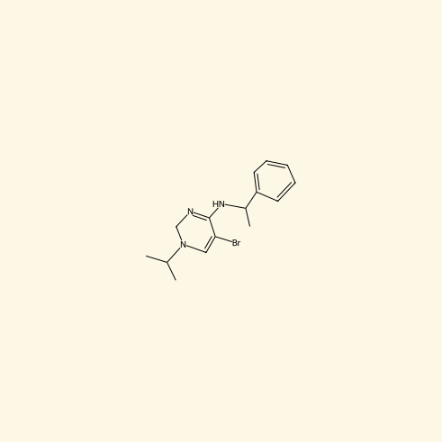 CC(NC1=NCN(C(C)C)C=C1Br)c1ccccc1